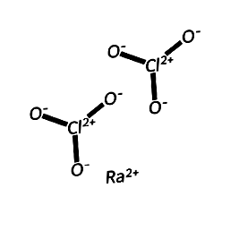 [O-][Cl+2]([O-])[O-].[O-][Cl+2]([O-])[O-].[Ra+2]